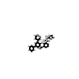 N#Cc1cccc(S(=O)(=O)Nc2nncs2)c1Oc1ccc(-c2ccccc2)cc1-c1ccnnc1